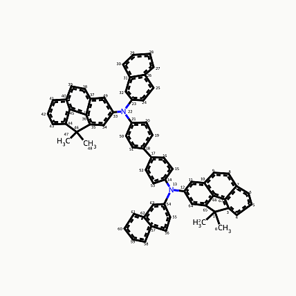 CC1(C)c2cccc3ccc4cc(N(c5ccc(-c6ccc(N(c7ccc8ccccc8c7)c7cc8c9c(ccc%10cccc(c%109)C8(C)C)c7)cc6)cc5)c5ccc6ccccc6c5)cc1c4c23